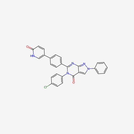 O=c1ccc(-c2ccc(-c3nc4nn(-c5ccccc5)cc4c(=O)n3-c3ccc(Cl)cc3)cc2)c[nH]1